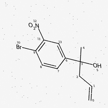 C=CCC(C)(O)c1ccc(Br)c([N+](=O)[O-])c1